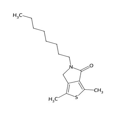 CCCCCCCCN1Cc2c(C)sc(C)c2C1=O